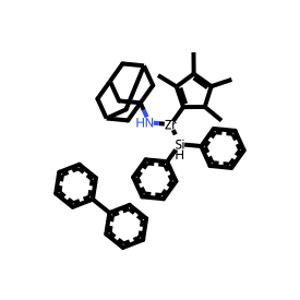 CC1=C(C)C(C)[C]([Zr]([NH]C23CC4CC(CC(C4)C2)C3)[SiH](c2ccccc2)c2ccccc2)=C1C.c1ccc(-c2ccccc2)cc1